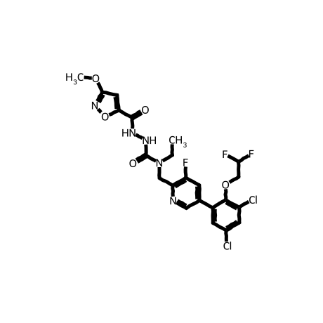 CCN(Cc1ncc(-c2cc(Cl)cc(Cl)c2OCC(F)F)cc1F)C(=O)NNC(=O)c1cc(OC)no1